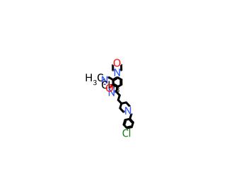 CN(C)Cc1c(N2CCOCC2)ccc2c(CCC3CCN(Cc4ccc(Cl)cc4)CC3)noc12